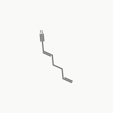 C=CCCC=CC#N